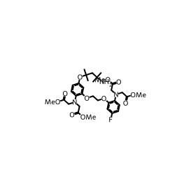 COC(=O)CN(CC(=O)OC)c1ccc(F)cc1OCCOc1cc(OC(C)(C)CC(C)(C)N)ccc1N(CC(=O)OC)CC(=O)OC